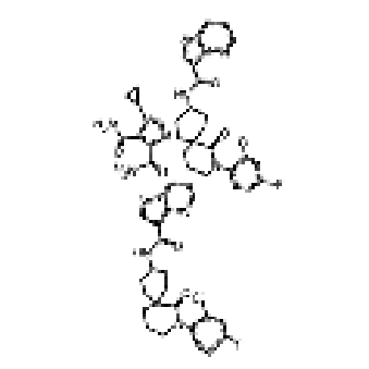 NC(=O)c1ncn(C2CC2)c1C(N)=O.O=C(NC1CCC2(CCCN(c3ccc(F)cc3Cl)C2=O)CC1)c1cnc2cccnn12.O=C(NC1CCC2(CCCN(c3ccc(F)cc3Cl)C2=O)CC1)c1cnn2cccnc12